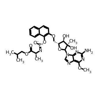 COc1nc(N)nc2c1ncn2C1O[C@H](COc2ccc3ccccc3c2O/[P+]([O-])=N/[C@@H](C)C(=O)OCC(C)C)[C@@H](O)[C@@]1(C)O